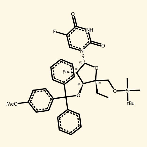 COc1ccc(C(O[C@H]2[C@H](F)[C@H](n3cc(F)c(=O)[nH]c3=O)O[C@]2(CI)CO[Si](C)(C)C(C)(C)C)(c2ccccc2)c2ccccc2)cc1